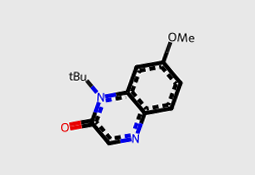 COc1ccc2ncc(=O)n(C(C)(C)C)c2c1